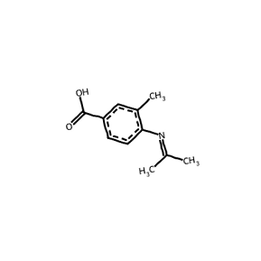 CC(C)=Nc1ccc(C(=O)O)cc1C